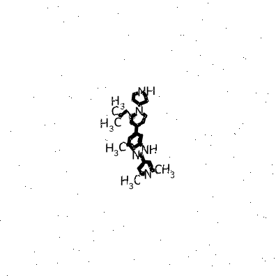 Cc1cc(-c2nc3c(C)cc(C4CCN(C5CCNCC5)[C@H](CC(C)C)C4)cc3[nH]2)cc(C)n1